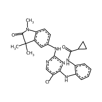 CN1C(=O)C(C)(C)c2cc(Nc3ncc(Cl)c(Nc4ccccc4NC(=O)C4CC4)n3)ccc21